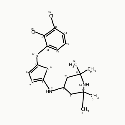 CC1(C)CC(Nc2ncc(Sc3cccc(Cl)c3Cl)s2)CC(C)(C)N1